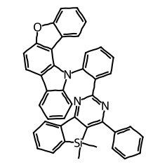 C[Si]1(C)c2ccccc2-c2nc(-c3ccccc3-n3c4ccccc4c4ccc5oc6ccccc6c5c43)nc(-c3ccccc3)c21